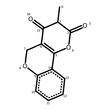 CC1C(=O)OC2=C(COc3ccccc32)C1=O